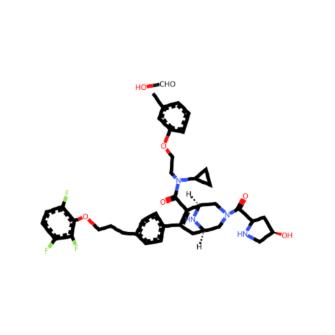 Cc1cccc(OCCN(C(=O)C2=C(c3ccc(CCCOc4c(F)ccc(F)c4F)cc3)C[C@@H]3CN(C(=O)C4C[C@@H](O)CN4)C[C@H]2N3)C2CC2)c1.O=CO